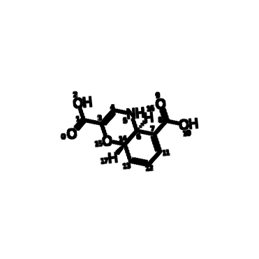 O=C(O)C1=CN[C@H]2C(C(=O)O)=CC=C[C@@H]2O1